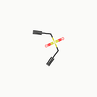 C#CCS(=O)(=O)CC#C